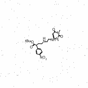 Cn1c(NCCNCCC(C(=O)OC(C)(C)C)c2ccc([N+](=O)[O-])cc2)cc(=O)n(C)c1=O